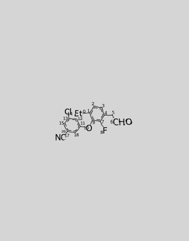 CCc1ccc(CC=O)c(F)c1Oc1cc(Cl)cc(C#N)c1